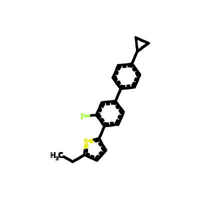 CCc1ccc(-c2ccc(-c3ccc(C4CC4)cc3)cc2F)s1